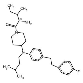 CCC(C)[C@H](N)C(=O)N1CCC(N(CCC(C)C)c2ccc(CCc3ccc(F)cc3)cc2)CC1